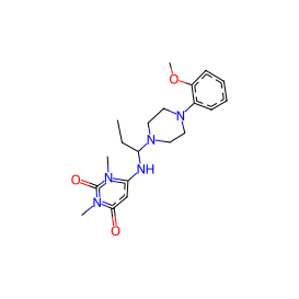 CCC(Nc1cc(=O)n(C)c(=O)n1C)N1CCN(c2ccccc2OC)CC1